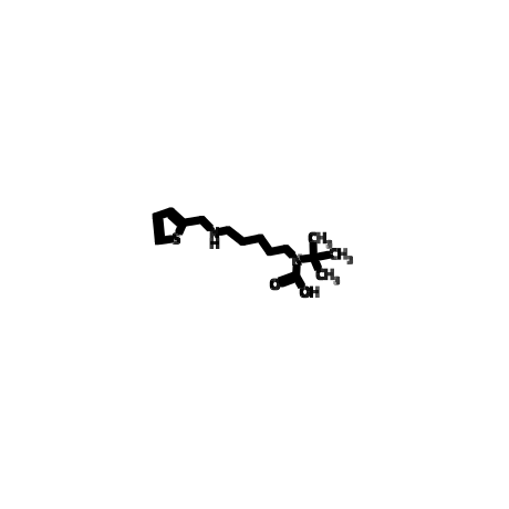 CC(C)(C)N(CCCCCNCc1cccs1)C(=O)O